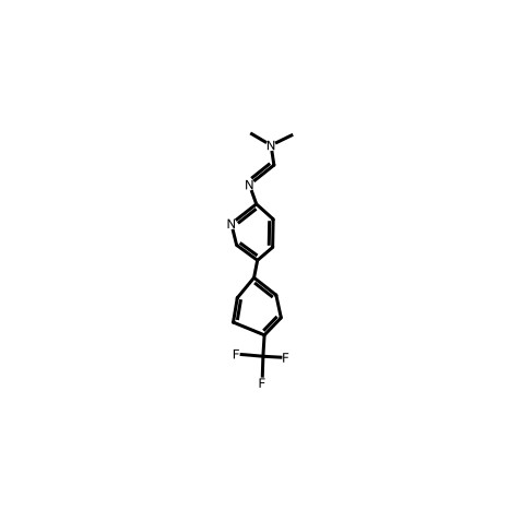 CN(C)C=Nc1ccc(-c2ccc(C(F)(F)F)cc2)cn1